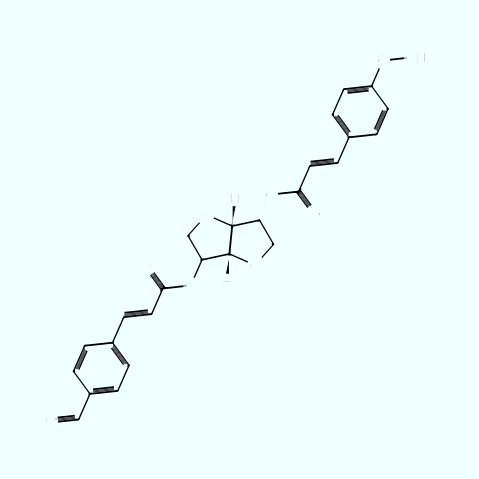 COc1ccc(/C=C/C(=O)O[C@@H]2CO[C@@H]3C(OC(=O)/C=C/c4ccc(C=O)cc4)CO[C@@H]32)cc1